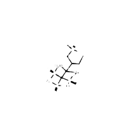 CCC(CP(=O)(O)O)C(N)(N)C(P(=O)(O)O)(P(=O)(O)O)P(=O)(O)O